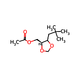 CC(=O)OC[C@@H]1OCOC1CC(C)(C)C